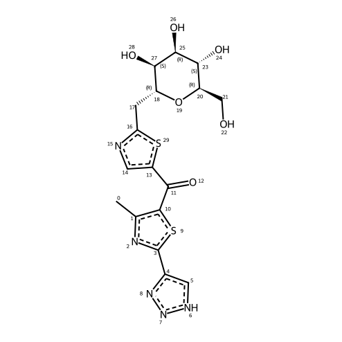 Cc1nc(-c2c[nH]nn2)sc1C(=O)c1cnc(C[C@H]2O[C@H](CO)[C@@H](O)[C@H](O)[C@@H]2O)s1